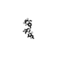 CCN1C(=O)C(C)(C)C(=O)N(C)c2cc(CN(CCn3cc(C)c4oc(C)cc4c3=O)Cc3cc(C)n(C)n3)ccc21